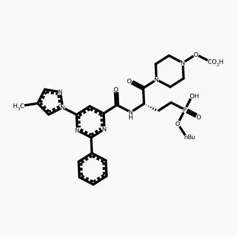 CCCCOP(=O)(O)CC[C@H](NC(=O)c1cc(-n2cc(C)cn2)nc(-c2ccccc2)n1)C(=O)N1CCN(OC(=O)O)CC1